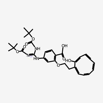 CC(C)(C)OC(=O)/N=C(\NC(=O)OC(C)(C)C)Nc1ccc(C(=O)O)c(OCCc2ccccccccc2O)c1